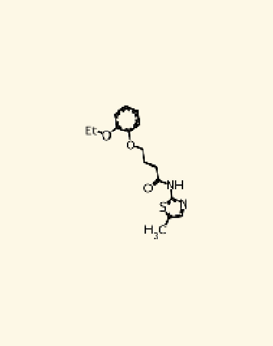 CCOc1ccccc1OCCCC(=O)Nc1ncc(C)s1